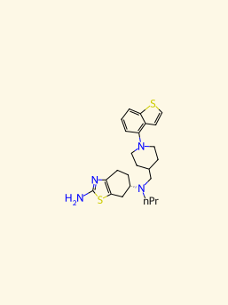 CCCN(CC1CCN(c2cccc3sccc23)CC1)[C@H]1CCc2nc(N)sc2C1